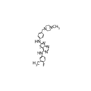 Cc1cc(Nc2ncnc3nc(Nc4ccc(CN5CCN(C)CC5)cc4)sc23)ccc1F